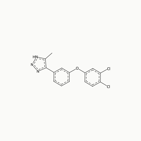 Cc1[nH]nnc1-c1cccc(Oc2ccc(Cl)c(Cl)c2)c1